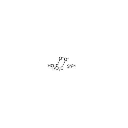 O=C([O-])O.O=C([O-])O.[Sn+2]